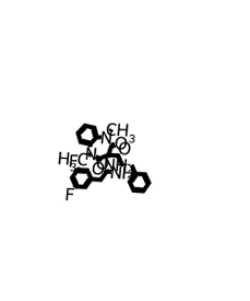 CN1C(=O)C(N)(C(=O)[C@H](Cc2ccccc2)NC(=O)Cc2cc(F)cc(F)c2)C(=O)N(C)c2ccccc21